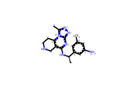 Cc1nnc2nc(N[C@H](C)c3cc(N)cc(C(F)(F)F)c3)c3c(n12)CCNC3